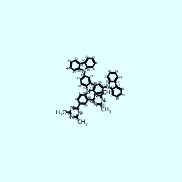 Cc1nc(C)nc(-c2ccc(-n3c4ccc(-n5c6ccccc6c6ccccc65)cc4c4cc(-n5c6ccccc6c6ccccc65)ccc43)c(-c3nc(C)nc(C)n3)c2)n1